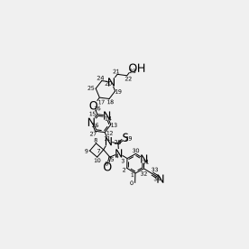 Cc1cc(N2C(=O)C3(CCC3)N(c3cnc(OC4CCN(CCO)CC4)nc3)C2=S)cnc1C#N